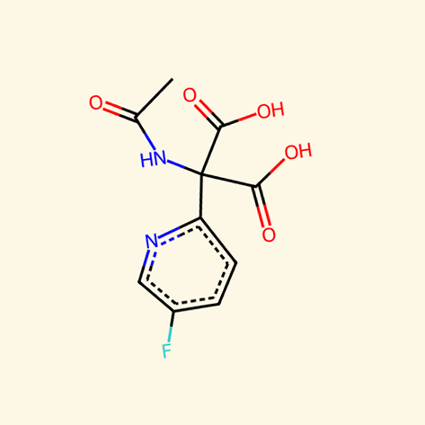 CC(=O)NC(C(=O)O)(C(=O)O)c1ccc(F)cn1